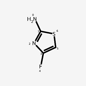 Nc1nc(F)cs1